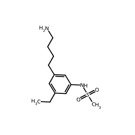 CCc1cc(CCCCN)cc(NS(C)(=O)=O)c1